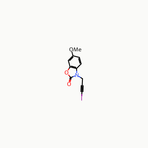 COc1ccc2c(c1)oc(=O)n2CC#CI